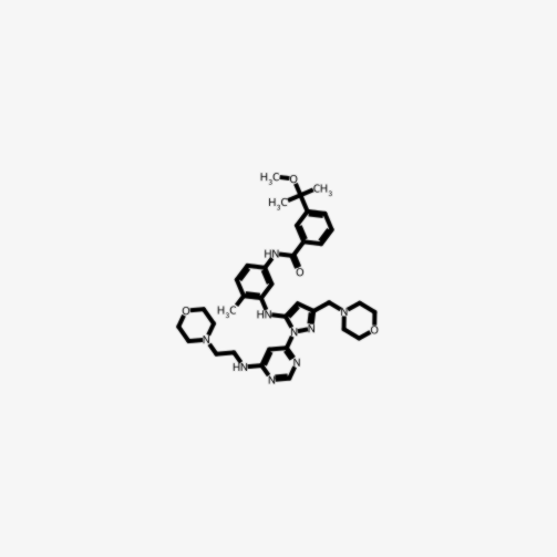 COC(C)(C)c1cccc(C(=O)Nc2ccc(C)c(Nc3cc(CN4CCOCC4)nn3-c3cc(NCCN4CCOCC4)ncn3)c2)c1